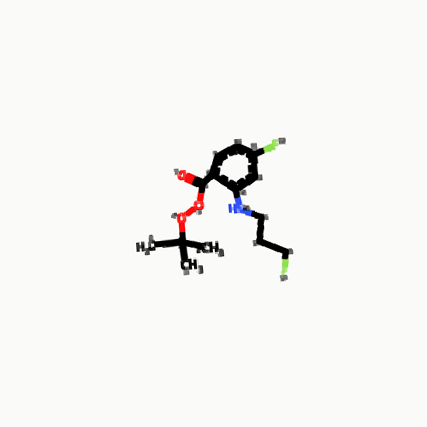 CC(C)(C)OOC(=O)c1ccc(F)cc1NCCCF